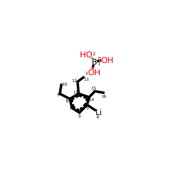 OB(O)O.[Li][c]1ccc(CC)c(CC)c1CC